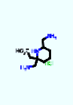 Cl.NCC1CCCC(CN)(CC(=O)O)N1